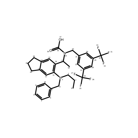 CCCN(Cc1ccccc1)c1cc2c(cc1C(C)N(Cc1cc(C(F)(F)F)cc(C(F)(F)F)c1)C(=O)O)CCC2